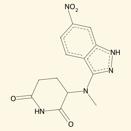 CN(c1n[nH]c2cc([N+](=O)[O-])ccc12)C1CCC(=O)NC1=O